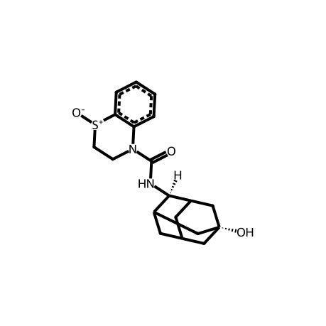 O=C(N[C@H]1C2CC3CC1C[C@](O)(C3)C2)N1CC[S+]([O-])c2ccccc21